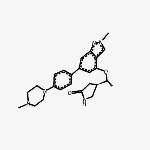 CC(Oc1cc(-c2ccc(N3CCN(C)CC3)cc2)cc2nn(C)cc12)[C@H]1CNC(=O)C1